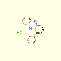 Cl.c1ccc(-c2cccc3nc4ccccc4nc23)cc1